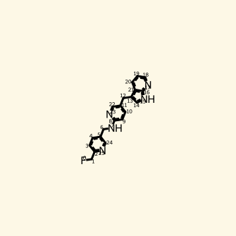 FCc1ccc(CNc2ccc(Cc3c[nH]c4ncccc34)cn2)cn1